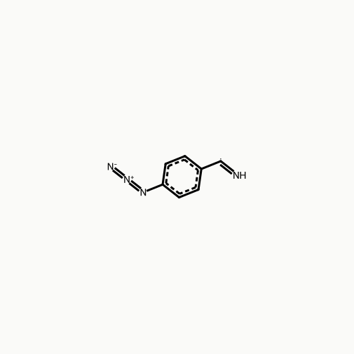 [N-]=[N+]=Nc1ccc([C]=N)cc1